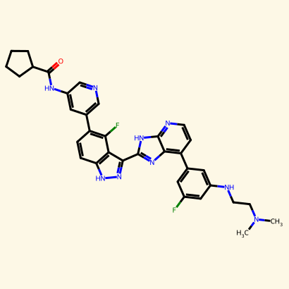 CN(C)CCNc1cc(F)cc(-c2ccnc3[nH]c(-c4n[nH]c5ccc(-c6cncc(NC(=O)C7CCCC7)c6)c(F)c45)nc23)c1